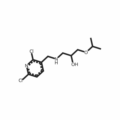 CC(C)OCC(O)CNCc1ccc(Cl)nc1Cl